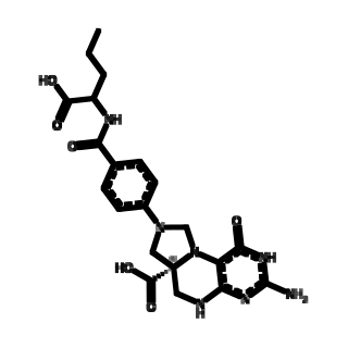 CCCC(NC(=O)c1ccc(N2CN3c4c(nc(N)[nH]c4=O)NC[C@@]3(C(=O)O)C2)cc1)C(=O)O